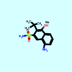 CC(C)(C)c1c(S(N)(=O)=O)cc2c(N)cccc2c1O.[Na]